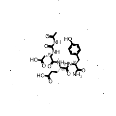 CC(=O)NC(=O)N[C@@H](CC(=O)O)C(=O)N[C@@H](CCC(=O)O)C(=O)N[C@@H](Cc1ccc(O)cc1)C(N)=O